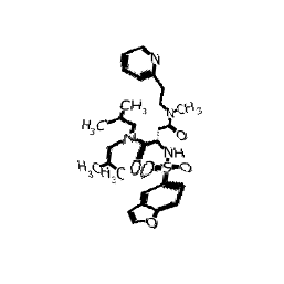 CC(C)CN(CC(C)C)C(=O)[C@H](CC(=O)N(C)CCc1ccccn1)NS(=O)(=O)c1ccc2occc2c1